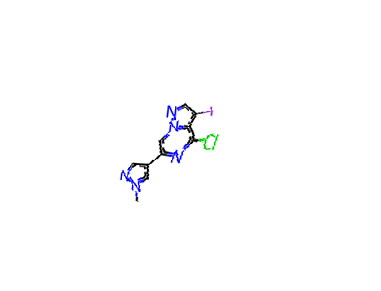 Cn1cc(-c2cn3ncc(I)c3c(Cl)n2)cn1